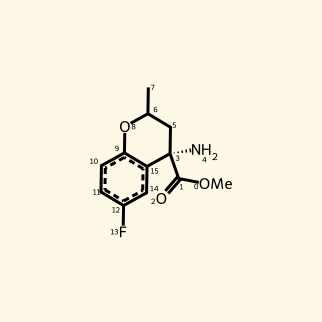 COC(=O)[C@]1(N)CC(C)Oc2ccc(F)cc21